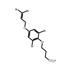 O=C(O)CCCOc1c(Br)cc(OCC=C(Br)Br)cc1Br